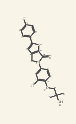 CCc1cc(N2Cc3cc(-c4ccc(Cl)cc4)sc3C2=O)ccc1OCC(C)(C)O